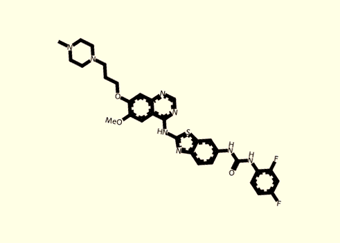 COc1cc2c(Nc3nc4ccc(NC(=O)Nc5ccc(F)cc5F)cc4s3)ncnc2cc1OCCCN1CCN(C)CC1